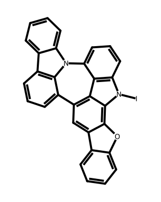 In1c2cccc3c2c2c(cc4c5ccccc5oc4c21)c1cccc2c4ccccc4n3c12